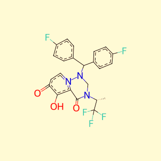 C[C@@H](N1CN(C(c2ccc(F)cc2)c2ccc(F)cc2)n2ccc(=O)c(O)c2C1=O)C(F)(F)F